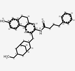 CCC1CC2CC(Cc3nc4c(nc3NC(=O)CCCc3ccccc3)CCc3cc(O)ccc3-4)CC(C1)C2